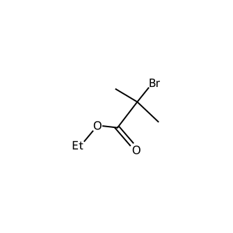 [CH2]COC(=O)C(C)(C)Br